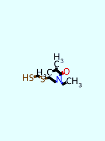 CCN(CCSCS)C(=O)C(C)C